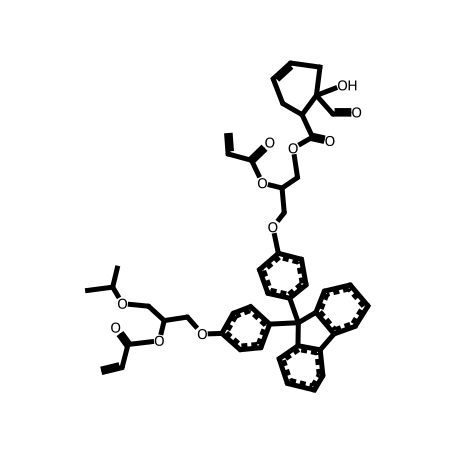 C=CC(=O)OC(COC(=O)C1CC=CCC1(O)C=O)COc1ccc(C2(c3ccc(OCC(COC(C)C)OC(=O)C=C)cc3)c3ccccc3-c3ccccc32)cc1